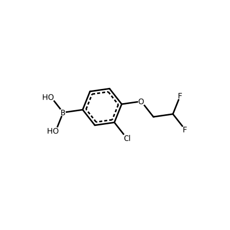 OB(O)c1ccc(OCC(F)F)c(Cl)c1